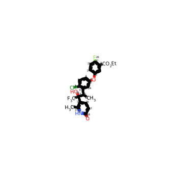 CCOC(=O)c1cc(Oc2ccc(Cl)c(C(C)C(O)(c3ccc(=O)[nH]c3C)C(F)(F)F)c2)ccc1F